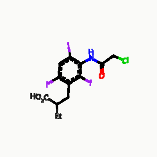 CCC(Cc1c(I)cc(I)c(NC(=O)CCl)c1I)C(=O)O